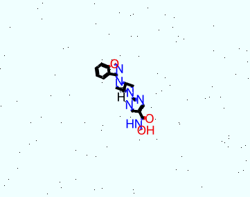 O=C(NO)c1cnc(N2CC3[C@H]2CN3c2noc3ccccc23)nc1